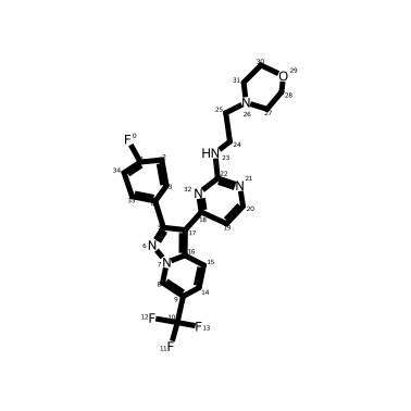 Fc1ccc(-c2nn3cc(C(F)(F)F)ccc3c2-c2ccnc(NCCN3CCOCC3)n2)cc1